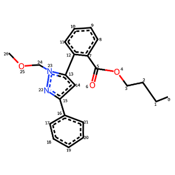 CCCCOC(=O)c1ccccc1-c1cc(-c2ccccc2)nn1COC